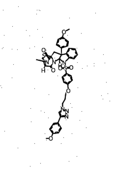 COc1ccc(-c2cn(CCCOc3ccc(S(=O)(=O)N4c5ccccc5[C@@]5(c6ccc(OC)cc6)C[C@@]67SS[C@@H](C(=O)N6[C@@H]45)N(C)C7=O)cc3)nn2)cc1